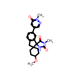 CNC(=O)C1(NC=O)c2cc(-c3cnn(C)c(=O)c3)ccc2CC12CCC(OC)CC2